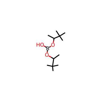 CC(OB(O)OC(C)C(C)(C)C)C(C)(C)C